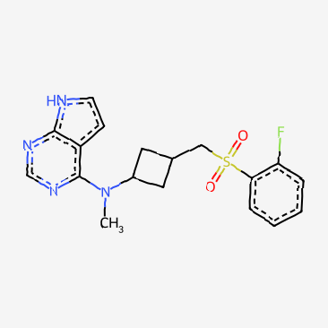 CN(c1ncnc2[nH]ccc12)C1CC(CS(=O)(=O)c2ccccc2F)C1